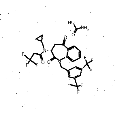 NC(=O)O.O=C1C[C@@H](N(C(=O)CC(F)(F)F)C2CC2)C(=O)N(Cc2cc(C(F)(F)F)cc(C(F)(F)F)c2)c2ccccc21